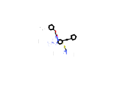 CN(C)CCSc1cc(NC(=O)O)c(NC(=O)CC(=O)c2cccc(C#N)c2)cc1C#Cc1ccccc1